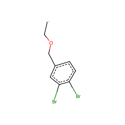 [CH2]COCc1ccc(Br)c(Br)c1